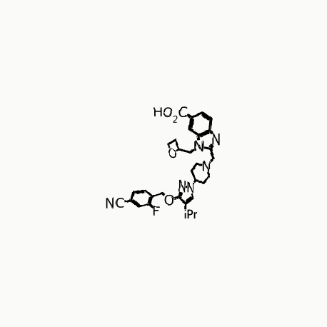 CC(C)c1cn(C2CCN(Cc3nc4ccc(C(=O)O)cc4n3CC3CCO3)CC2)nc1OCc1ccc(C#N)cc1F